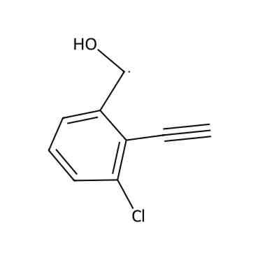 C#Cc1c(Cl)cccc1[CH]O